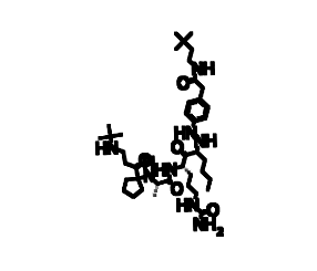 CCCCC(NNc1ccc(CC(=O)NCCC(C)(C)C)cc1)C(=O)[C@H](CCCNC(N)=O)NC(=O)[C@H](C)NC1(C(=O)CCNC(C)(C)C)CCCC1